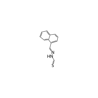 S=CNN=Cc1cccc2ccccc12